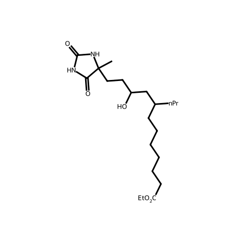 CCCC(CCCCCCC(=O)OCC)CC(O)CCC1(C)NC(=O)NC1=O